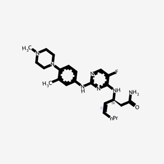 CCC/C=C\[C@H](CC(N)=O)Nc1nc(Nc2ccc(N3CCN(C)CC3)c(C)c2)ncc1F